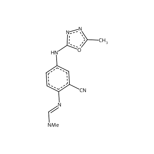 CN/C=N/c1ccc(Nc2nnc(C)o2)cc1C#N